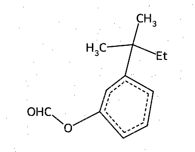 CCC(C)(C)c1cccc(OC=O)c1